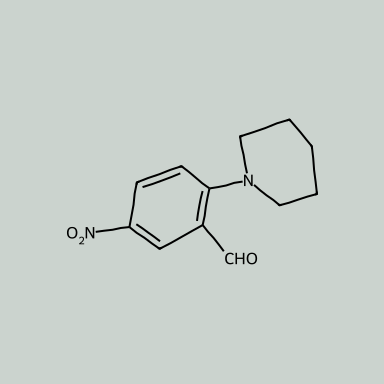 O=Cc1cc([N+](=O)[O-])ccc1N1CCCCC1